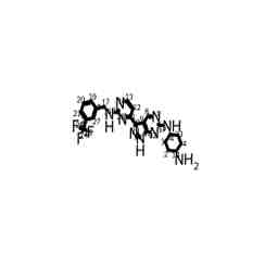 N[C@H]1CC[C@H](Nc2ncc3c(-c4ccnc(NCc5cccc(C(F)(F)F)c5)n4)n[nH]c3n2)CC1